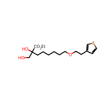 CCOC(=O)C(O)(CO)CCCCCCOCCc1ccsc1